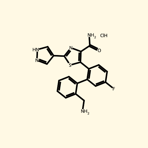 Cl.NCc1ccccc1-c1cc(F)ccc1-c1sc(-c2cn[nH]c2)nc1C(N)=O